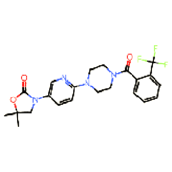 CC1(C)CN(c2ccc(N3CCN(C(=O)c4ccccc4C(F)(F)F)CC3)nc2)C(=O)O1